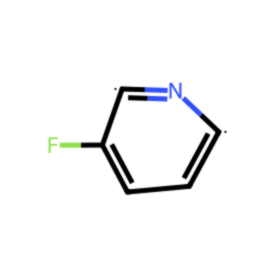 Fc1[c]n[c]cc1